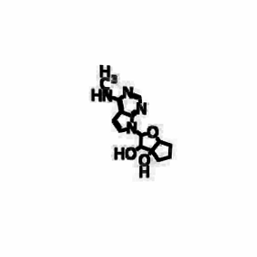 CNc1ncnc2c1ccn2C1OC2CCCC2(O)C1O